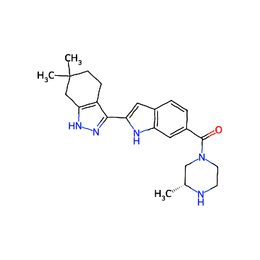 C[C@@H]1CN(C(=O)c2ccc3cc(-c4n[nH]c5c4CCC(C)(C)C5)[nH]c3c2)CCN1